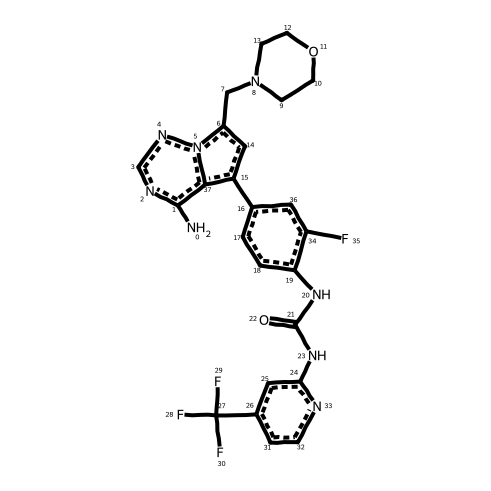 Nc1ncnn2c(CN3CCOCC3)cc(-c3ccc(NC(=O)Nc4cc(C(F)(F)F)ccn4)c(F)c3)c12